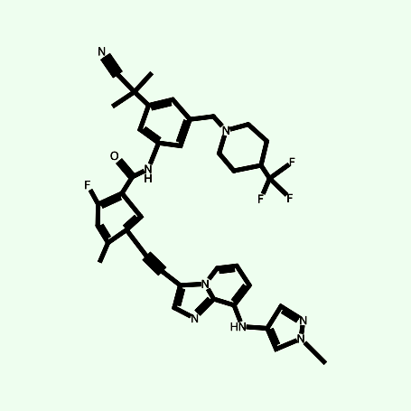 Cc1cc(F)c(C(=O)Nc2cc(CN3CCC(C(F)(F)F)CC3)cc(C(C)(C)C#N)c2)cc1C#Cc1cnc2c(Nc3cnn(C)c3)cccn12